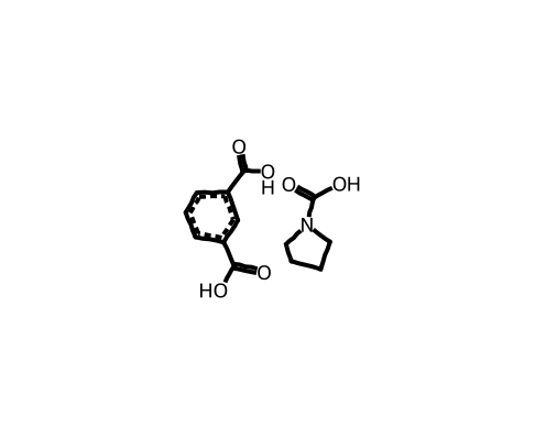 O=C(O)N1CCCC1.O=C(O)c1cccc(C(=O)O)c1